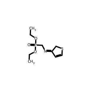 CCOP(=O)(C/N=C1/C=CSC1)OCC